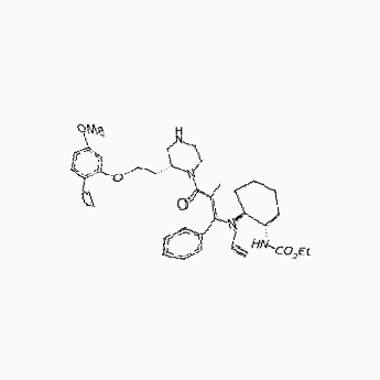 C=CN(/C(=C(\C)C(=O)N1CCNC[C@H]1CCOc1cc(OC)ccc1Cl)c1ccccc1)[C@H]1CCCC[C@@H]1NC(=O)OCC